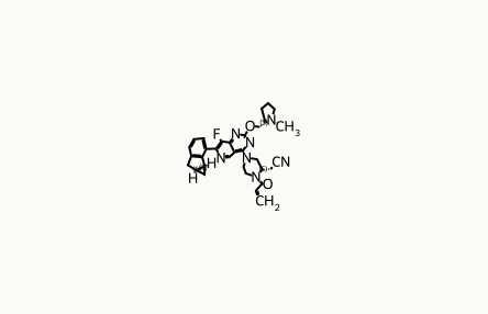 C=CC(=O)N1CCN(c2nc(OC[C@@H]3CCCN3C)nc3c(F)c(-c4cccc5c4[C@H]4C[C@H]4C5)ncc23)C[C@@H]1CC#N